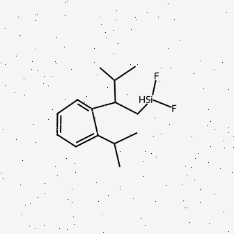 CC(C)c1ccccc1C(C[SiH](F)F)C(C)C